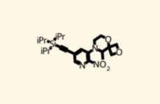 CC1N(c2cc(C#C[Si](C(C)C)(C(C)C)C(C)C)cnc2[N+](=O)[O-])CCOC12COC2